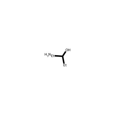 CCC(O)CC.N